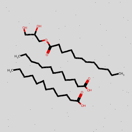 CCCCCCCCCCCC(=O)O.CCCCCCCCCCCC(=O)O.CCCCCCCCCCCC(=O)OCC(O)CO